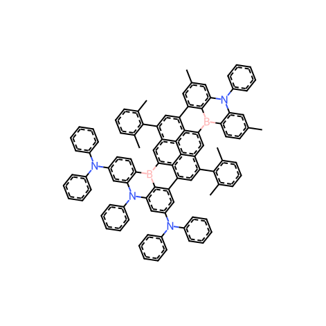 Cc1ccc2c(c1)N(c1ccccc1)c1cc(C)cc3c1B2c1cc2c(-c4c(C)cccc4C)cc4c5c(cc6c(-c7c(C)cccc7C)cc-3c1c6c25)B1c2ccc(N(c3ccccc3)c3ccccc3)cc2N(c2ccccc2)c2cc(N(c3ccccc3)c3ccccc3)cc-4c21